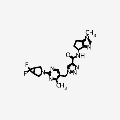 Cc1nc(N2CC3C(C2)C3(F)F)ncc1Cn1cc(C(=O)N[C@@H]2CCc3c2ncn3C)nn1